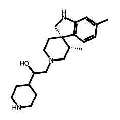 Cc1ccc2c(c1)NC[C@]21CCN(CC(O)C2CCNCC2)C[C@H]1C